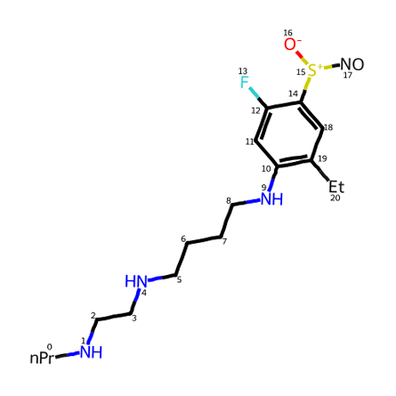 CCCNCCNCCCCNc1cc(F)c([S+]([O-])N=O)cc1CC